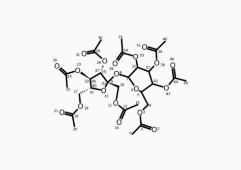 CC(=O)OCC1OC(O[C@]2(COC(C)=O)O[C@H](COC(C)=O)[C@@H](OC(C)=O)[C@@H]2OC(C)=O)C(OC(C)=O)C(OC(C)=O)C1OC(C)=O